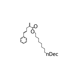 C=C(CC=Cc1ccccc1)C(=O)OCCCCCCCCCCCCCCCCCC